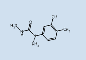 Cc1ccc(N(N)C(=O)NN)cc1O